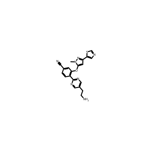 Cn1nc(-c2cncs2)cc1Oc1cc(C#N)ccc1-c1ncc(CCN)cn1